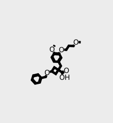 COCCCOc1cc(CC2(C(=O)O)CC(OCc3ccccc3)C2)ccc1OC